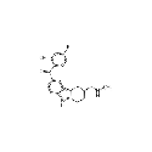 CNCC1CCc2[nH]c3ccc(C(=O)c4ccc(F)cc4Cl)cc3c2C1